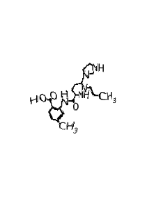 CCCN1NC(C(=O)Nc2cc(C)ccc2C(=O)O)CCC1N1CCNC1